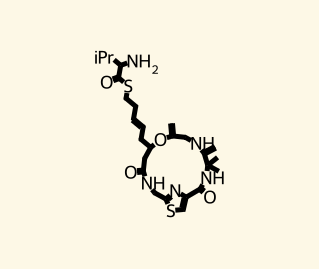 C=C1CNC(=C)C(C)(C)NC(=O)c2csc(n2)CNC(=O)CC(C/C=C/CCSC(=O)C(N)C(C)C)O1